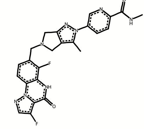 CNC(=O)c1ccc(-n2nc3c(c2C)CN(Cc2ccc4c([nH]c(=O)c5c(F)cnn54)c2F)C3)cn1